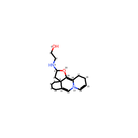 OCCNC1CC23CCCCC2=CN2C=CCCC2=C3O1